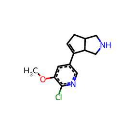 COc1cc(C2=CCC3CNCC23)cnc1Cl